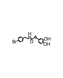 O=C(NCCc1ccc(Br)cc1)C1CC1c1ccc(O)c(O)c1